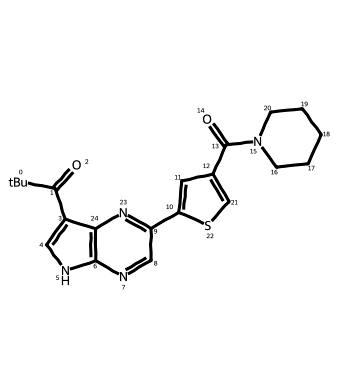 CC(C)(C)C(=O)c1c[nH]c2ncc(-c3cc(C(=O)N4CCCCC4)cs3)nc12